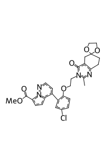 COC(=O)c1ccc2c(-c3cc(Cl)ccc3OCCn3c(C)nc4c(c3=O)CC3(CC4)OCCO3)ccnn12